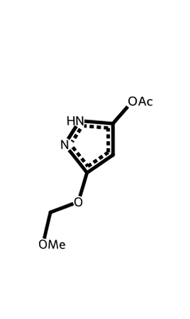 COCOc1cc(OC(C)=O)[nH]n1